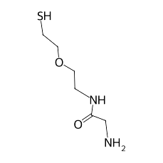 NCC(=O)NCCOCCS